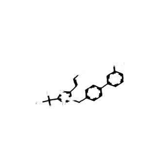 CCC=Cc1nc(C(F)(F)CCC)nn1Cc1ccc(-c2cccc(C(=O)O)c2)cc1